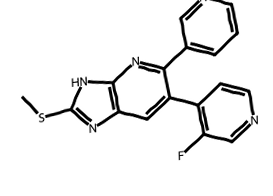 CSc1nc2cc(-c3ccncc3F)c(-c3cccnc3)nc2[nH]1